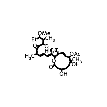 CCC(OC)C(C)C(O)C1OC1C(C)/C=C/C=C(\C)C1OC(=O)CC(O)CCC(C)(O)C(OC(C)=O)/C=C/C1C